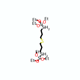 CCO[Si](OCC)(OCC)[SiH2]CCCSCCC[SiH2][Si](OCC)(OCC)OCC